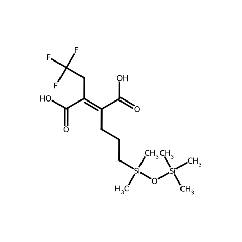 C[Si](C)(C)O[Si](C)(C)CCCC(C(=O)O)=C(CC(F)(F)F)C(=O)O